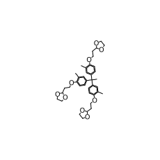 Cc1cc(C(C)(c2ccc(OCCC3OCCO3)c(C)c2)c2ccc(OCCC3OCCO3)c(C)c2)ccc1OCCC1OCCO1